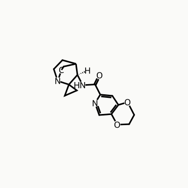 O=C(N[C@@H]1C2CCN(CC2)C12CC2)c1cc2c(cn1)OCCO2